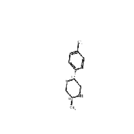 C[C@H]1CO[C@H](c2ccc(C(F)(F)F)cc2)CN1